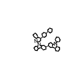 c1ccc(-c2ccc(-c3cc(-n4c5ccccc5c5ccc(-c6ccc7c(c6)c6ccccc6n7-c6ccccc6)cc54)nc4ccccc34)cc2)cc1